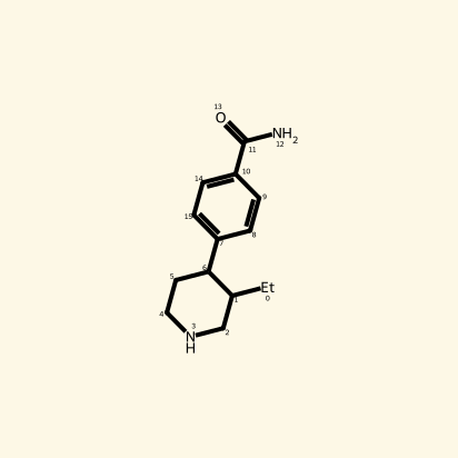 CCC1CNCCC1c1ccc(C(N)=O)cc1